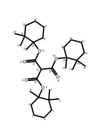 CC1(C)CCCCC1(C)OC(=O)[C](C(=O)OC1(C)CCCCC1(C)C)C(=O)OC1(C)CCCCC1(C)C